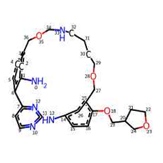 Nc1cc2ccc1-c1ccnc(n1)Nc1ccc(OCC3CCOC3)c(c1)COCCCCNCOC2